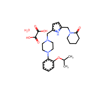 CC(C)Oc1ccccc1N1CCN(Cc2ccc(CN3CCCCC3=O)[nH]2)CC1.O.O=C(O)C(=O)O